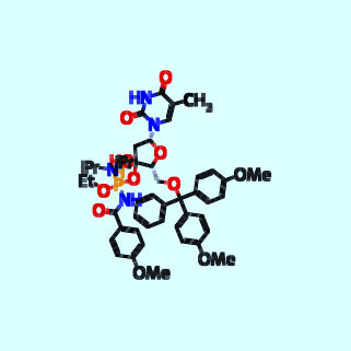 CCO[PH](NC(=O)c1ccc(OC)cc1)(O[C@@]1(O)C[C@H](n2cc(C)c(=O)[nH]c2=O)O[C@@H]1COC(c1ccccc1)(c1ccc(OC)cc1)c1ccc(OC)cc1)N(C(C)C)C(C)C